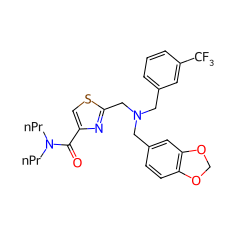 CCCN(CCC)C(=O)c1csc(CN(Cc2cccc(C(F)(F)F)c2)Cc2ccc3c(c2)OCO3)n1